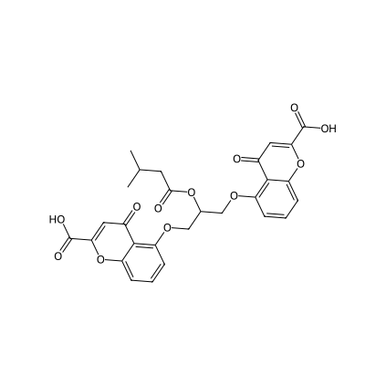 CC(C)CC(=O)OC(COc1cccc2oc(C(=O)O)cc(=O)c12)COc1cccc2oc(C(=O)O)cc(=O)c12